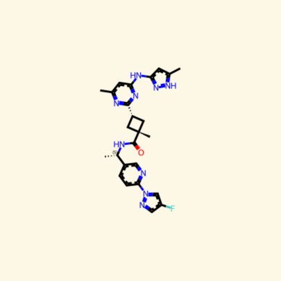 Cc1cc(Nc2cc(C)[nH]n2)nc([C@H]2C[C@@](C)(C(=O)N[C@@H](C)c3ccc(-n4cc(F)cn4)nc3)C2)n1